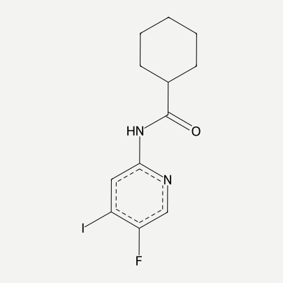 O=C(Nc1cc(I)c(F)cn1)C1CCCCC1